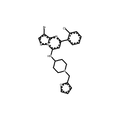 Clc1ccccc1-c1cc(NC2CCN(Cc3ccco3)CC2)n2ncc(Br)c2n1